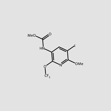 COC(=O)Nc1cc(I)c(OC)nc1OC(F)(F)F